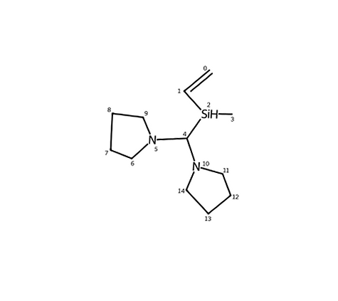 C=C[SiH](C)C(N1CCCC1)N1CCCC1